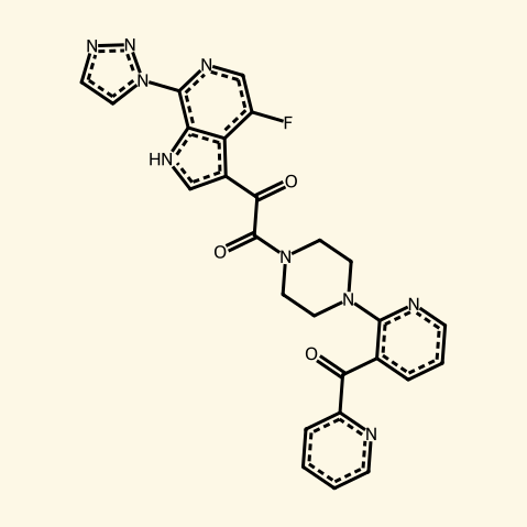 O=C(c1ccccn1)c1cccnc1N1CCN(C(=O)C(=O)c2c[nH]c3c(-n4ccnn4)ncc(F)c23)CC1